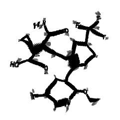 COc1ncc(Br)cc1-c1ccc(C(F)(F)F)cc1CC(C(N)=O)C1(C(=O)O)CC1